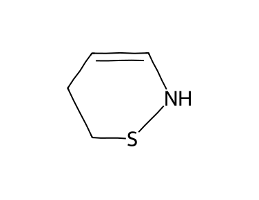 C1=CNSCC1